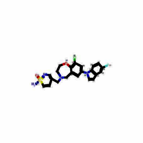 NS1(=O)=NC=C(CN2CCOc3c(Cl)cc(-n4ccc5cc(F)ccc54)cc3C2)C=C1